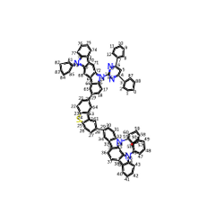 c1ccc(-c2cc(-c3ccccc3)nc(-n3c4ccc(-c5ccc6sc7ccc(-c8ccc9c(c8)c8ccc%10c%11ccccc%11n(-c%11ccccc%11)c%10c8n9-c8ccccc8)cc7c6c5)cc4c4cc5c(cc43)c3ccccc3n5-c3ccccc3)n2)cc1